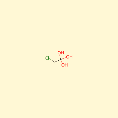 OC(O)(O)CCl